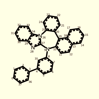 c1ccc(-c2cccc(N3c4ccc5ccccc5c4-c4ccccc4-n4c3nc3ccccc34)c2)cc1